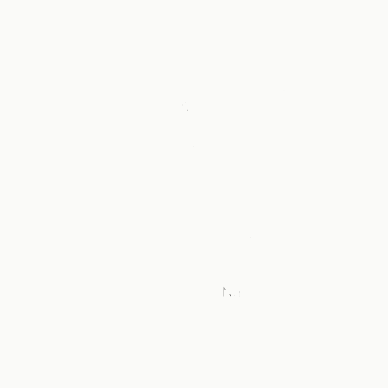 SC(c1ccccc1)(c1ccccc1)c1ccccc1.[Na]